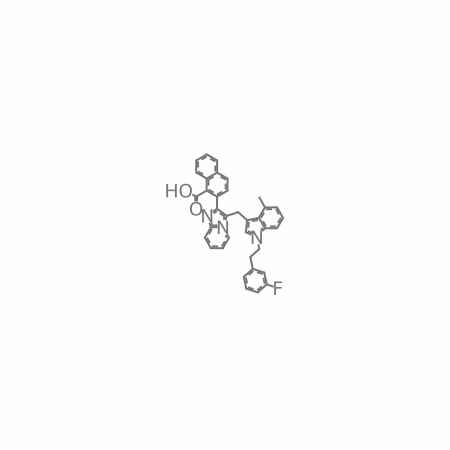 Cc1cccc2c1c(Cc1c(-c3ccc4ccccc4c3C(=O)O)nc3ccccn13)cn2CCc1cccc(F)c1